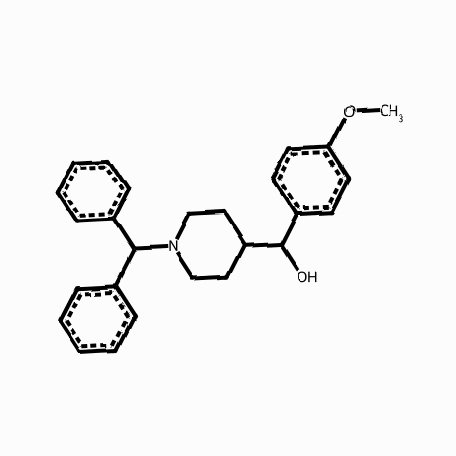 COc1ccc(C(O)C2CCN(C(c3ccccc3)c3ccccc3)CC2)cc1